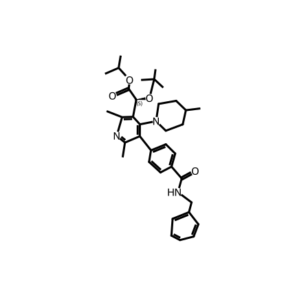 Cc1nc(C)c([C@H](OC(C)(C)C)C(=O)OC(C)C)c(N2CCC(C)CC2)c1-c1ccc(C(=O)NCc2ccccc2)cc1